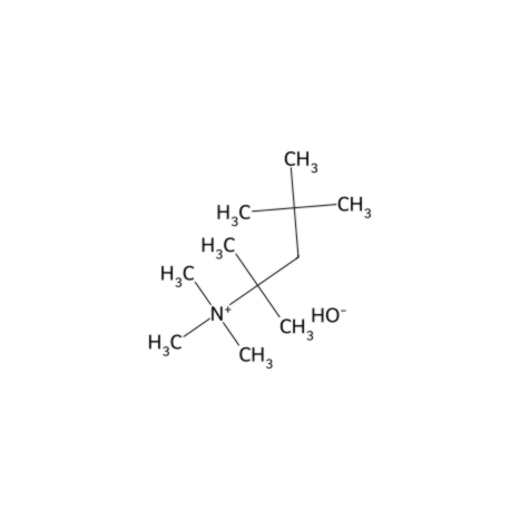 CC(C)(C)CC(C)(C)[N+](C)(C)C.[OH-]